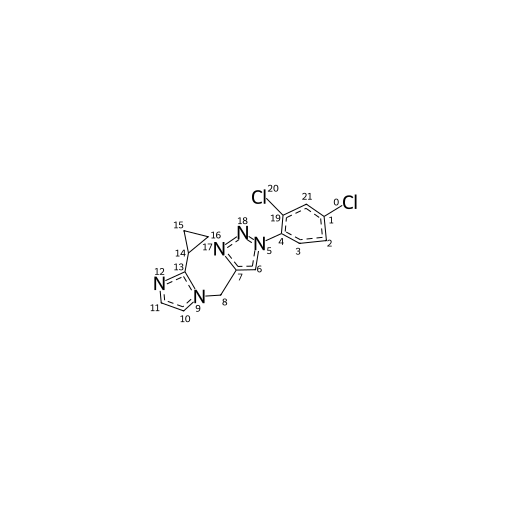 Clc1ccc(-n2cc(Cn3ccnc3C3CC3)nn2)c(Cl)c1